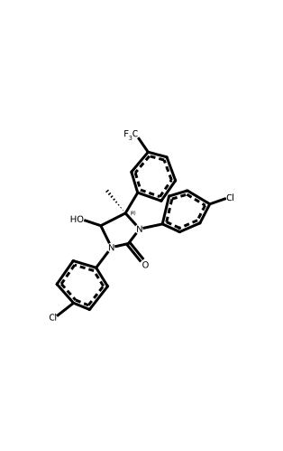 C[C@@]1(c2cccc(C(F)(F)F)c2)C(O)N(c2ccc(Cl)cc2)C(=O)N1c1ccc(Cl)cc1